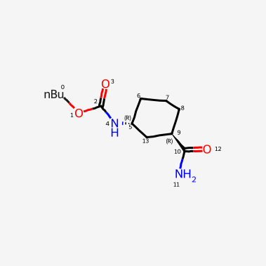 CCCCOC(=O)N[C@@H]1CCC[C@@H](C(N)=O)C1